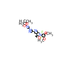 COc1cc(OC)c(F)c(N2Cc3cnc(-c4cnn(C5CN(C(=O)OC(C)(C)C)C5)c4)cc3C3(CC3)C2=O)c1F